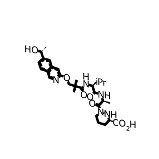 CC(C)[C@H](NC(=O)C(C)(C)COc1cc2cc([C@@H](C)O)ccc2cn1)C(=O)N[C@@H](C)C(=O)N1CCC[C@H](C(=O)O)N1